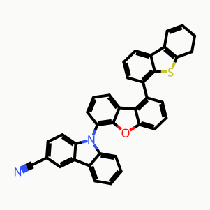 N#Cc1ccc2c(c1)c1ccccc1n2-c1cccc2c1oc1cccc(-c3cccc4c5c(sc34)CCC=C5)c12